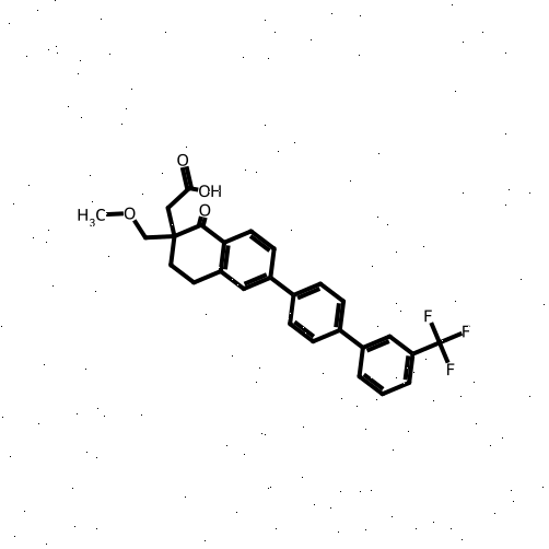 COCC1(CC(=O)O)CCc2cc(-c3ccc(-c4cccc(C(F)(F)F)c4)cc3)ccc2C1=O